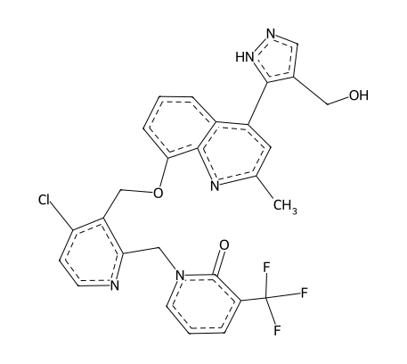 Cc1cc(-c2[nH]ncc2CO)c2cccc(OCc3c(Cl)ccnc3Cn3cccc(C(F)(F)F)c3=O)c2n1